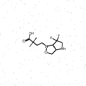 CC(C)(CCN1OCC2NCC(F)(F)C21)C(=O)O